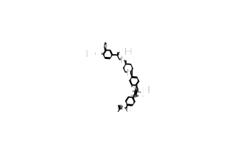 COc1cc(C(O)CNC2CCN(c3ccc(NS(=O)(=O)c4ccc(NC(C)=O)cc4)cc3)CC2)ccc1O